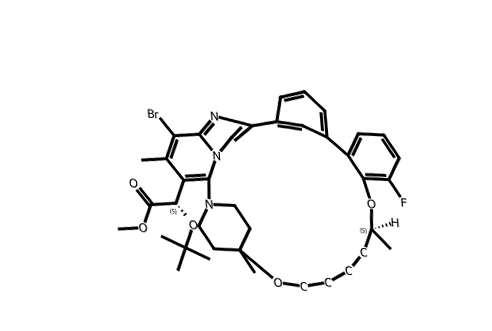 COC(=O)[C@@H](OC(C)(C)C)c1c(C)c(Br)c2nc3cn2c1N1CCC(C)(CC1)OCCCC[C@H](C)Oc1c(F)cccc1-c1cccc-3c1